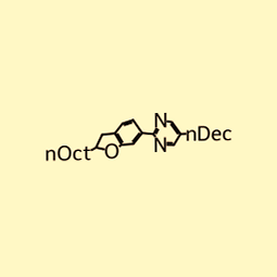 CCCCCCCCCCc1cnc(-c2ccc3c(c2)OC(CCCCCCCC)C3)nc1